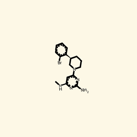 CNc1cc(N2CCC[C@H](c3ccccc3Br)C2)nc(N)n1